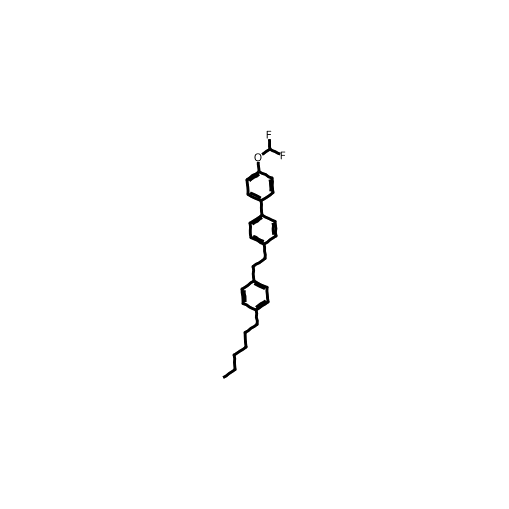 CCCCCCc1ccc(CCc2ccc(-c3ccc(OC(F)F)cc3)cc2)cc1